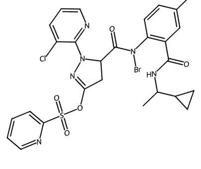 CC(NC(=O)c1cc(Cl)ccc1N(Br)C(=O)C1CC(OS(=O)(=O)c2ccccn2)=NN1c1ncccc1Cl)C1CC1